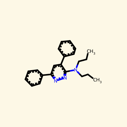 CCCN(CCC)c1nnc(-c2ccccc2)cc1-c1ccccc1